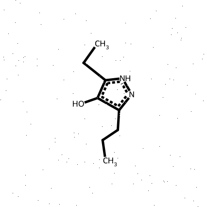 CCCc1n[nH]c(CC)c1O